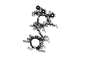 CCNC(=O)N[C@H](Cc1ccccc1)C(=O)N[C@H]1CSSC[C@@H](C(=O)N[C@H](C(=O)NCCSSCCC(=O)N(C)[C@@H](C)C(=O)O[C@H]2CC(=O)N(C)c3cc(cc(OC)c3Cl)C/C(C)=C/C=C/[C@@H](OC)[C@@]3(O)C[C@H](OC(=O)N3)[C@@H](C)[C@@H]3O[C@@]23C)[C@@H](C)O)NC(=O)[C@H]([C@@H](C)O)NC(=O)[C@H](CCCCN)NC(=O)[C@@H](Cc2c[nH]c3ccccc23)NC(=O)[C@H](Cc2ccc(O)cc2)NC1=O